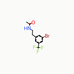 CC(=O)NCCc1cc(Br)cc(C(F)(F)F)c1